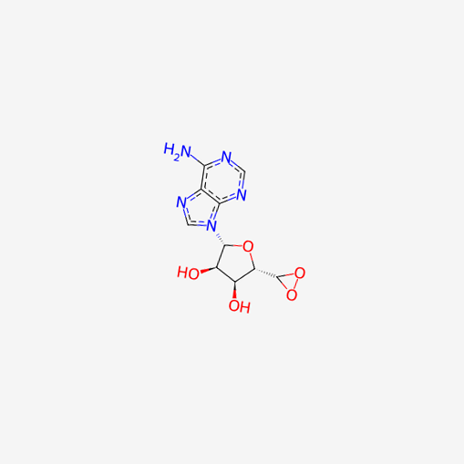 Nc1ncnc2c1ncn2[C@@H]1O[C@H](C2OO2)[C@@H](O)[C@H]1O